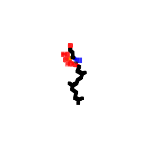 CC(C)=CCCC(C)=CCCC(C)=CCONC(CC=O)P(=O)(O)O